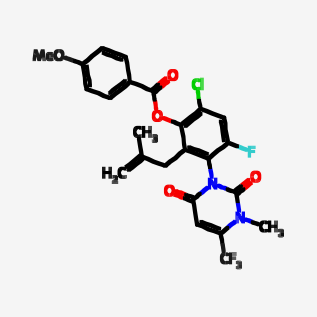 C=C(C)Cc1c(OC(=O)c2ccc(OC)cc2)c(Cl)cc(F)c1-n1c(=O)cc(C(F)(F)F)n(C)c1=O